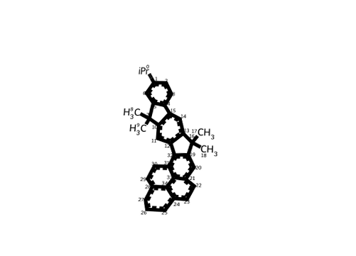 CC(C)c1ccc2c(c1)C(C)(C)c1cc3c(cc1-2)C(C)(C)c1cc2ccc4cccc5ccc(c1-3)c2c45